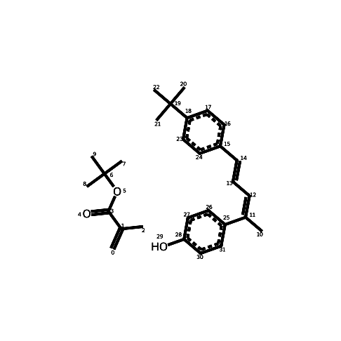 C=C(C)C(=O)OC(C)(C)C.CC(=CC=Cc1ccc(C(C)(C)C)cc1)c1ccc(O)cc1